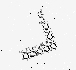 CC#N.CCCC[N+]1(C)C=CC=CC1.CCCC[N+]1(C)C=CC=CC1.CCCC[N+]1(C)C=CC=CC1.CCCC[N+]1(C)C=CC=CC1.CCCC[N+]1(C)C=CC=CC1.CCCC[N+]1(C)C=CC=CC1.CCCC[N+]1(C)C=CC=CC1.[Cl][Pb][Cl]